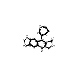 O=C1OCC2=C1C(c1cccnc1)c1cc3c(cc1N2)OCO3